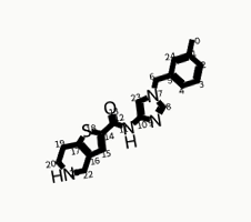 Cc1cccc(Cn2cnc(NC(=O)c3cc4c(s3)CCNC4)c2)c1